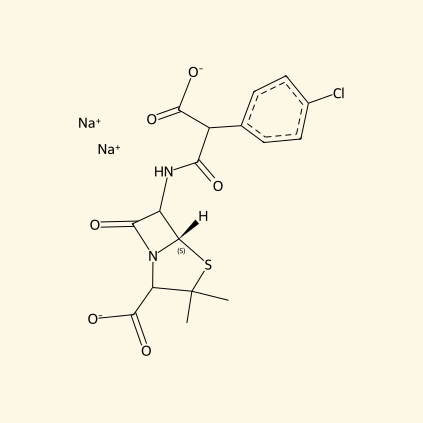 CC1(C)S[C@H]2C(NC(=O)C(C(=O)[O-])c3ccc(Cl)cc3)C(=O)N2C1C(=O)[O-].[Na+].[Na+]